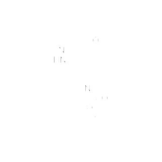 CC(C)(C)OC(=O)N1CCC(c2[nH]ncc2C2CCO2)CC1